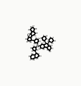 c1ccc(-c2c(-c3ccccc3)c3cc(N(c4cccc(-c5cccc6ccccc56)c4)c4cccc(-c5cccc6oc7c8ccccc8ccc7c56)c4)ccc3c3ccccc23)cc1